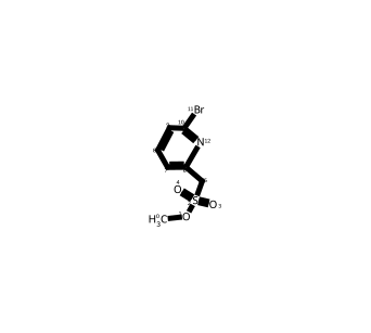 COS(=O)(=O)Cc1cccc(Br)n1